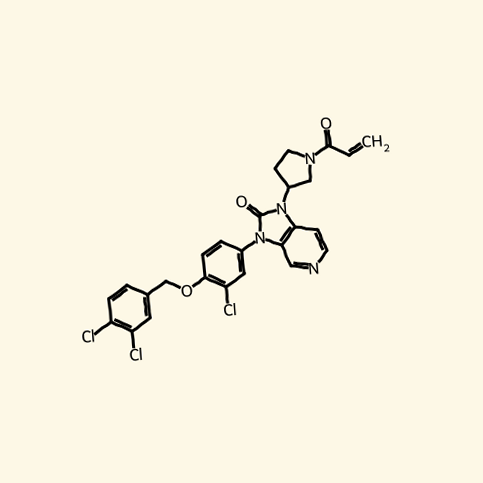 C=CC(=O)N1CCC(n2c(=O)n(-c3ccc(OCc4ccc(Cl)c(Cl)c4)c(Cl)c3)c3cnccc32)C1